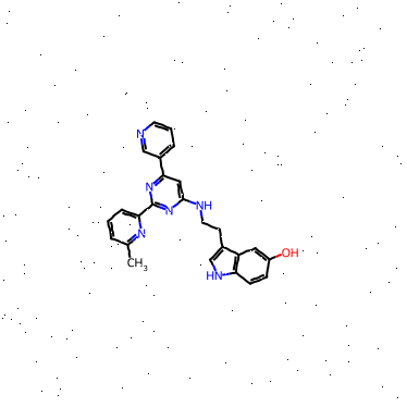 Cc1cccc(-c2nc(NCCc3c[nH]c4ccc(O)cc34)cc(-c3cccnc3)n2)n1